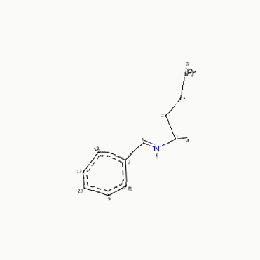 CC(C)CCC(C)N=Cc1ccccc1